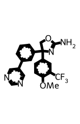 COc1ccc(C2(c3cccc(-c4cncnc4)c3)COC(N)=N2)cc1C(F)(F)F